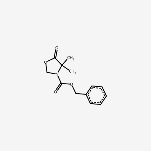 CC1(C)C(=O)OCN1C(=O)OCc1ccccc1